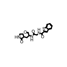 O=CC(CC1CCNC1=O)NC(=O)CNC(=O)c1cc2ccccc2s1